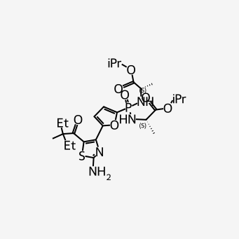 CCC(C)(CC)C(=O)c1sc(N)nc1-c1ccc(P(=O)(N[C@@H](C)C(=O)OC(C)C)N[C@@H](C)C(=O)OC(C)C)o1